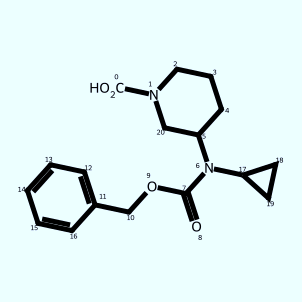 O=C(O)N1CCCC(N(C(=O)OCc2ccccc2)C2CC2)C1